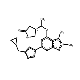 Cc1c2c(OC(C)[C@H]3CNC(=O)C3)cc(-c3cnn(CC4CC4)c3)cc2nn1C